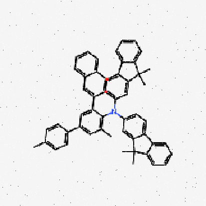 Cc1ccc(-c2cc(C)c(N(c3ccc4c(c3)C(C)(C)c3ccccc3-4)c3ccc4c(c3)C(C)(C)c3ccccc3-4)c(-c3ccc4ccccc4c3)c2)cc1